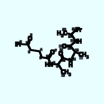 CC(C)C(=O)CCCC(=O)NC(C)C(=O)NC(C)C(=O)NC(C)C(C)C